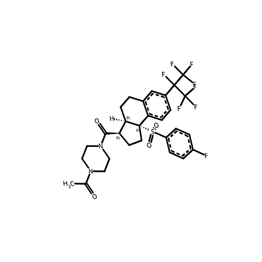 CC(=O)N1CCN(C(=O)[C@@H]2CC[C@]3(S(=O)(=O)c4ccc(F)cc4)c4ccc(C(F)(C(F)(F)F)C(F)(F)F)cc4CC[C@H]23)CC1